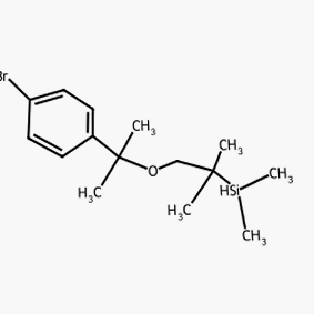 C[SiH](C)C(C)(C)COC(C)(C)c1ccc(Br)cc1